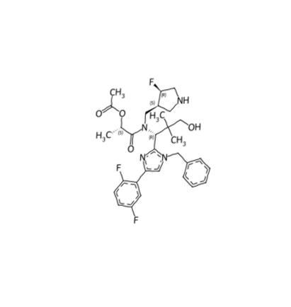 CC(=O)O[C@@H](C)C(=O)N(C[C@@H]1CNC[C@@H]1F)[C@@H](c1nc(-c2cc(F)ccc2F)cn1Cc1ccccc1)C(C)(C)CO